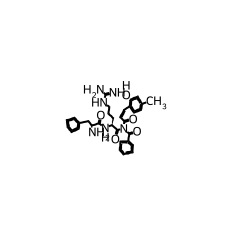 Cc1ccc(/C=C\C(=O)N(C(=O)c2ccccc2)C(=O)[C@H](CCCNC(=N)N)NC(=O)[C@@H](N)Cc2ccccc2)c(O)c1